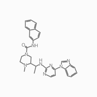 CC(Nc1nccc(-n2cnc3ccccc32)n1)C1CN(C(=O)Nc2ccc3ccccc3c2)CCN1C